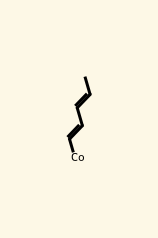 CC=CC=[CH][Co]